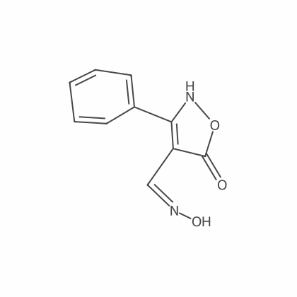 O=c1o[nH]c(-c2ccccc2)c1/C=N\O